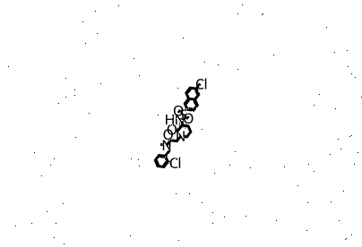 CN(Cc1ccccc1Cl)C(=O)CN1CCC[C@H](NS(=O)(=O)c2ccc3cc(Cl)ccc3c2)C1=O